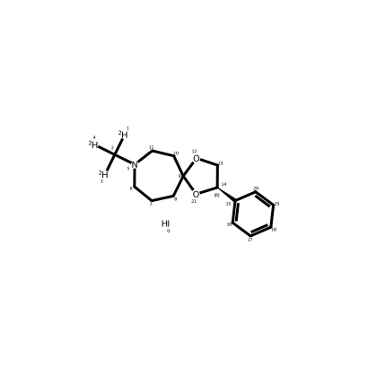 I.[2H]C([2H])([2H])N1CCCC2(CC1)OC[C@@H](c1ccccc1)O2